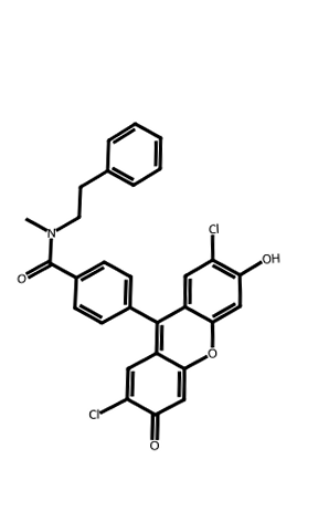 CN(CCc1ccccc1)C(=O)c1ccc(-c2c3cc(Cl)c(=O)cc-3oc3cc(O)c(Cl)cc23)cc1